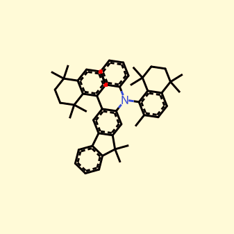 Cc1ccc2c(c1N(c1ccccc1)c1cc3c(cc1-c1cccc4c1C(C)(C)CCC4(C)C)-c1ccccc1C3(C)C)C(C)(C)CCC2(C)C